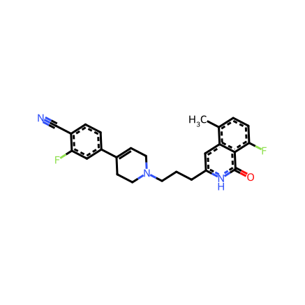 Cc1ccc(F)c2c(=O)[nH]c(CCCN3CC=C(c4ccc(C#N)c(F)c4)CC3)cc12